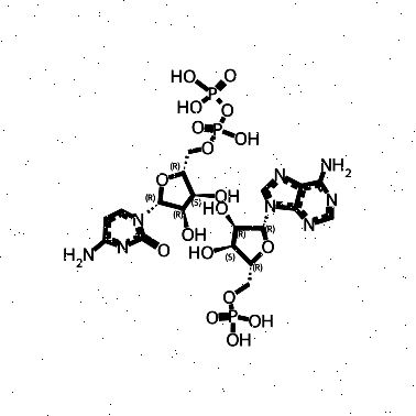 Nc1ccn([C@@H]2O[C@H](COP(=O)(O)OP(=O)(O)O)[C@@H](O)[C@H]2O)c(=O)n1.Nc1ncnc2c1ncn2[C@@H]1O[C@H](COP(=O)(O)O)[C@@H](O)[C@H]1O